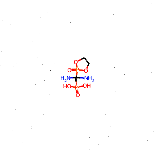 NC(N)(P(=O)(O)O)P1(=O)OCCO1